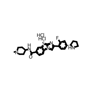 CN1CCC(NC(=O)c2ccc3c(c2)sc2nc(-c4ccc([C@@H]5CCCN5)cc4F)cn23)CC1.Cl.Cl